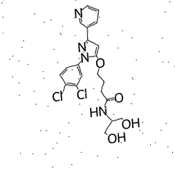 O=C(CCCOc1cc(-c2cccnc2)nn1-c1ccc(Cl)c(Cl)c1)NC(CO)CO